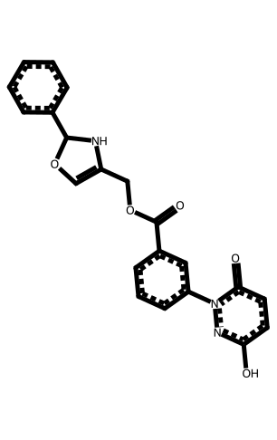 O=C(OCC1=COC(c2ccccc2)N1)c1cccc(-n2nc(O)ccc2=O)c1